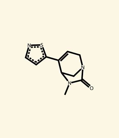 CN1C(=O)N2CC=C(c3ccns3)C1C2